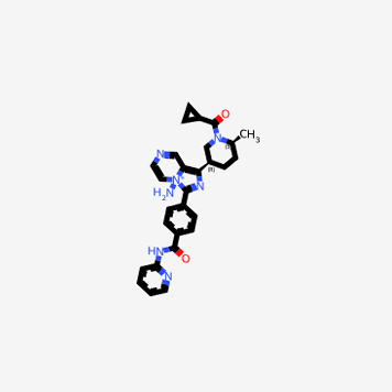 C[C@H]1CC[C@@H](C2=C3C=NC=C[N+]3(N)C(c3ccc(C(=O)Nc4ccccn4)cc3)=N2)CN1C(=O)C1CC1